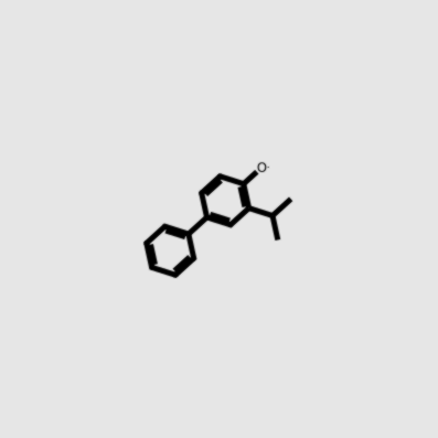 CC(C)c1cc(-c2ccccc2)ccc1[O]